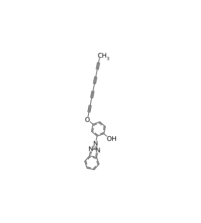 CC#CC#CC#CC#COc1ccc(O)c(-n2n3c4ccccc4n23)c1